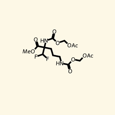 COC(=O)C(CCCNC(=O)OCOC(C)=O)(NC(=O)OCOC(C)=O)C(F)F